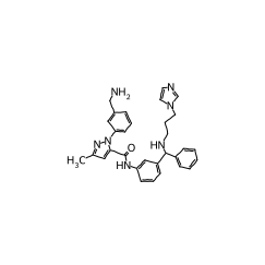 Cc1cc(C(=O)Nc2cccc(C(NCCCn3ccnc3)c3ccccc3)c2)n(-c2cccc(CN)c2)n1